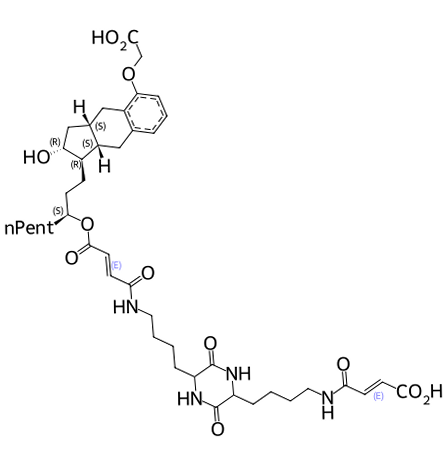 CCCCC[C@@H](CC[C@@H]1[C@H]2Cc3cccc(OCC(=O)O)c3C[C@H]2C[C@H]1O)OC(=O)/C=C/C(=O)NCCCCC1NC(=O)C(CCCCNC(=O)/C=C/C(=O)O)NC1=O